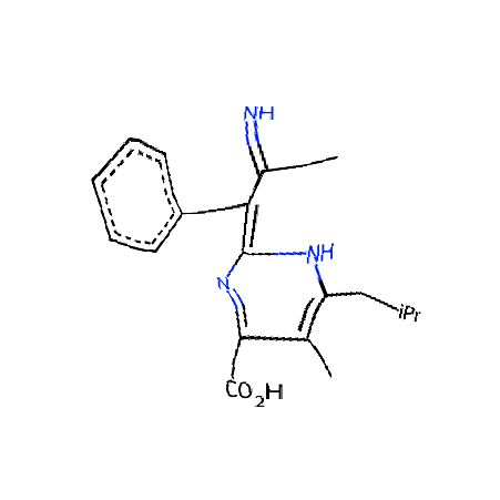 CC(=N)/C(=C1/N=C(C(=O)O)C(C)=C(C(C)C)N1)c1ccccc1